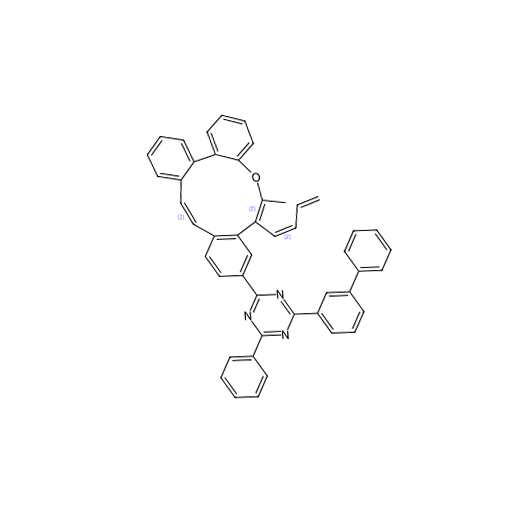 C=C/C=C\C1=C(/C)Oc2ccccc2-c2ccccc2/C=C\c2ccc(-c3nc(-c4ccccc4)nc(-c4cccc(-c5ccccc5)c4)n3)cc21